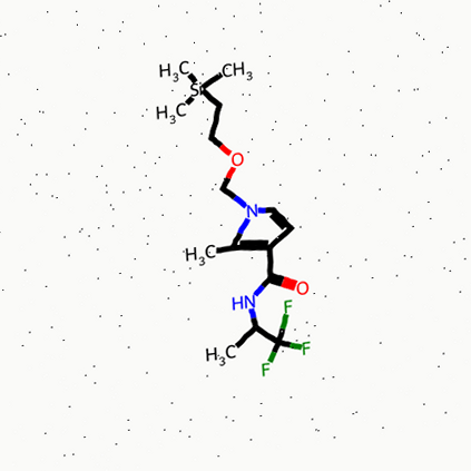 Cc1c(C(=O)NC(C)C(F)(F)F)ccn1COCC[Si](C)(C)C